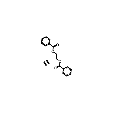 C=C.C=C.O=C(OCCOC(=O)c1ccccc1)c1ccccc1